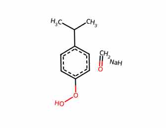 C=O.CC(C)c1ccc(OO)cc1.[NaH]